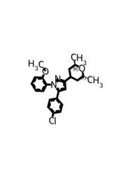 COc1ccccc1-n1nc(C2C[C@@H](C)O[C@H](C)C2)cc1-c1ccc(Cl)cc1